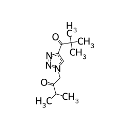 CC(C)C(=O)Cn1cc(C(=O)C(C)(C)C)nn1